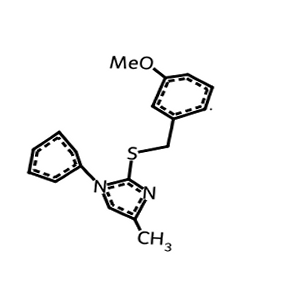 COc1cc[c]c(CSc2nc(C)cn2-c2ccccc2)c1